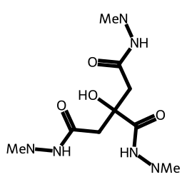 CNNC(=O)CC(O)(CC(=O)NNC)C(=O)NNC